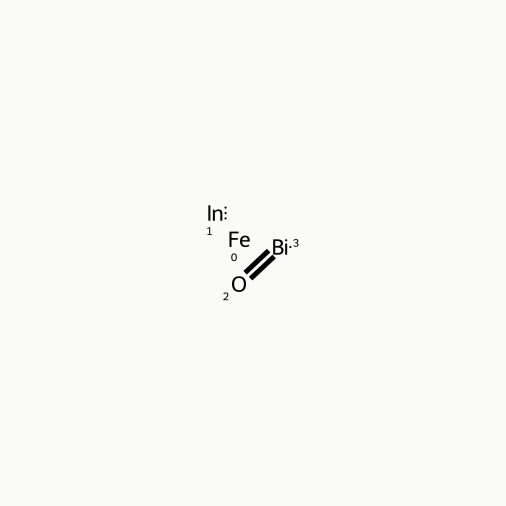 [Fe].[In].[O]=[Bi]